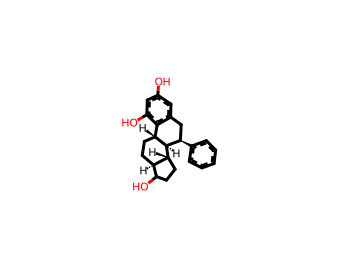 Oc1cc(O)c2c(c1)C[C@@H](c1ccccc1)[C@H]1[C@@H]3CCC(O)[C@H]3CC[C@H]21